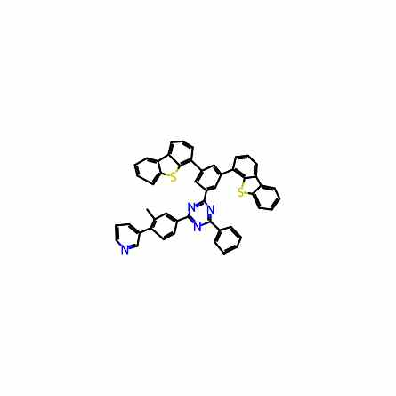 Cc1cc(-c2nc(-c3ccccc3)nc(-c3cc(-c4cccc5c4sc4ccccc45)cc(-c4cccc5c4sc4ccccc45)c3)n2)ccc1-c1cccnc1